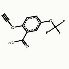 C#COc1ccc(OC(F)(F)F)cc1C(=O)O